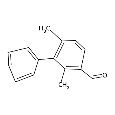 Cc1ccc(C=O)c(C)c1-c1ccccc1